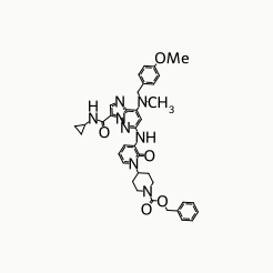 COc1ccc(CN(C)c2cc(Nc3cccn(C4CCN(C(=O)OCc5ccccc5)CC4)c3=O)nn3c(C(=O)NC4CC4)cnc23)cc1